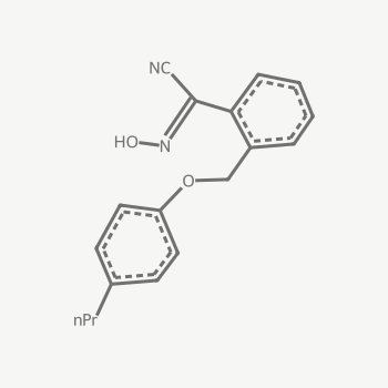 CCCc1ccc(OCc2ccccc2C(C#N)=NO)cc1